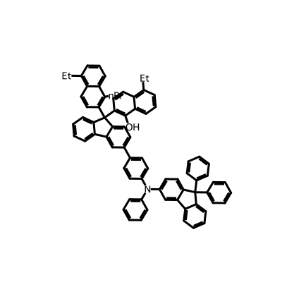 CCCc1c(C2(c3ccc4c(CC)cccc4c3O)c3ccccc3-c3cc(-c4ccc(N(c5ccccc5)c5ccc6c(c5)-c5ccccc5C6(c5ccccc5)c5ccccc5)cc4)ccc32)ccc2c(CC)cccc12